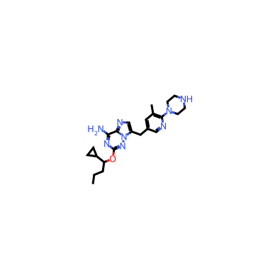 CCCC(Oc1nc(N)c2ncc(Cc3cnc(N4CCNCC4)c(C)c3)n2n1)C1CC1